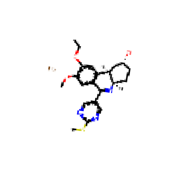 Br.CCOc1cc2c(cc1OC)C(c1cnc(SC)nc1)=N[C@@H]1CC[C@@H](O)C[C@H]21